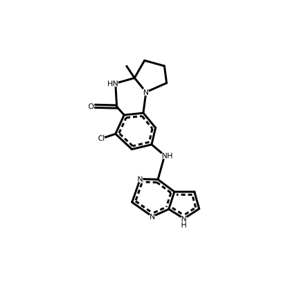 CC12CCCN1c1cc(Nc3ncnc4[nH]ccc34)cc(Cl)c1C(=O)N2